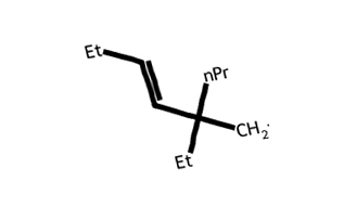 [CH2]C(C=CCC)(CC)CCC